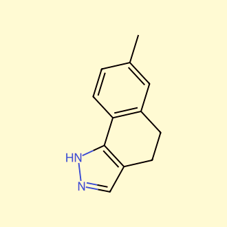 Cc1ccc2c(c1)CCc1cn[nH]c1-2